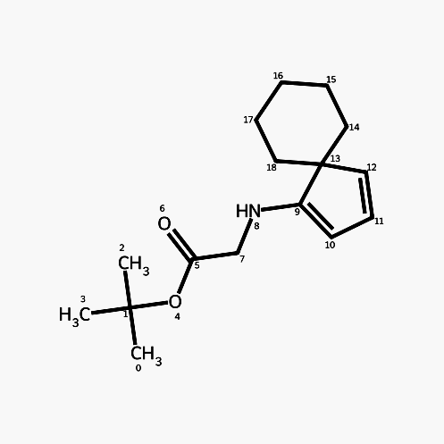 CC(C)(C)OC(=O)CNC1=CC=CC12CCCCC2